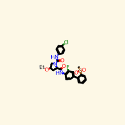 CCOC1CC(C(=O)Nc2ccc(-c3ccccc3S(C)(=O)=O)cc2F)N(C(=O)Nc2ccc(Cl)cc2)C1